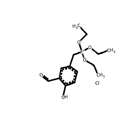 CCO[P+](Cc1ccc(O)c(C=O)c1)(OCC)OCC.[Cl-]